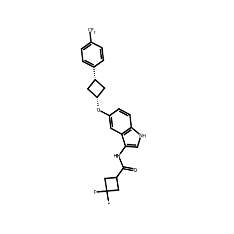 O=C(Nc1c[nH]c2ccc(O[C@H]3C[C@@H](c4ccc(C(F)(F)F)cc4)C3)cc12)C1CC(F)(F)C1